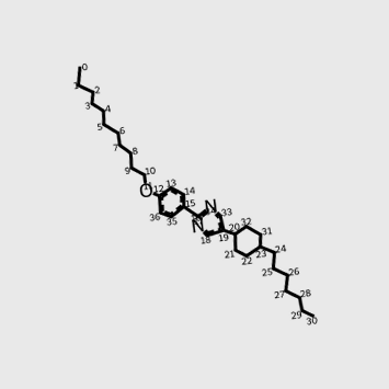 CCCCCCCCCCCOc1ccc(-c2ncc(C3CCC(CCCCCCC)CC3)cn2)cc1